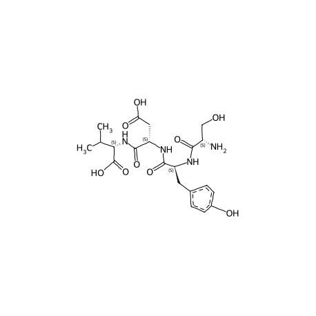 CC(C)[C@H](NC(=O)[C@H](CC(=O)O)NC(=O)[C@H](Cc1ccc(O)cc1)NC(=O)[C@@H](N)CO)C(=O)O